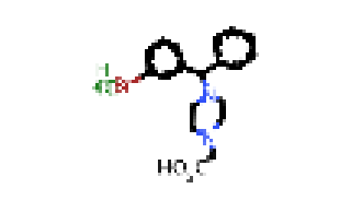 Cl.Cl.O=C(O)CN1CCN(C(c2ccccc2)c2cccc(Br)c2)CC1